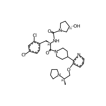 C[C@H](COc1cccnc1C1CCN(C(=O)[C@@H](Cc2ccc(Cl)cc2Cl)NC(=O)N2CC[C@H](O)C2)CC1)N1CCCC1